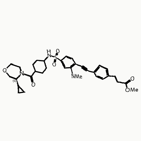 CNc1cc(S(=O)(=O)NC2CCC(C(=O)N3CCOC[C@@H]3C3CC3)CC2)ccc1C#Cc1ccc(CCC(=O)OC)cc1